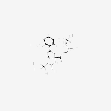 COc1cccc(OC)c1C(=O)CC(CC(C)CC(C)(C)C)(P=O)C(=O)OCC(C)CC(C)(C)C